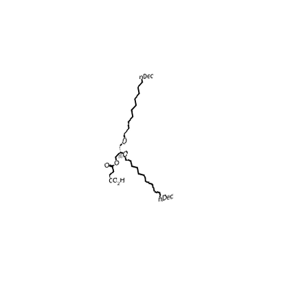 CCCCCCCCCCCCCCCCCCCCOC[C@@H](COC(=O)CCC(=O)O)OCCCCCCCCCCCCCCCCCCCC